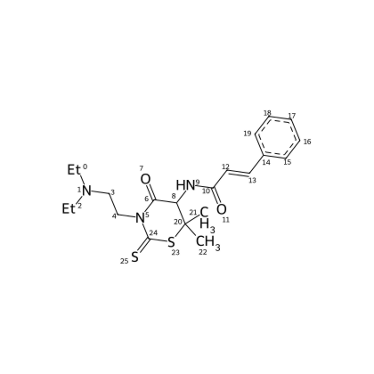 CCN(CC)CCN1C(=O)C(NC(=O)/C=C/c2ccccc2)C(C)(C)SC1=S